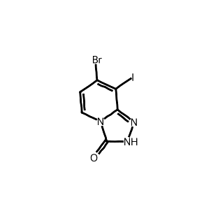 O=c1[nH]nc2c(I)c(Br)ccn12